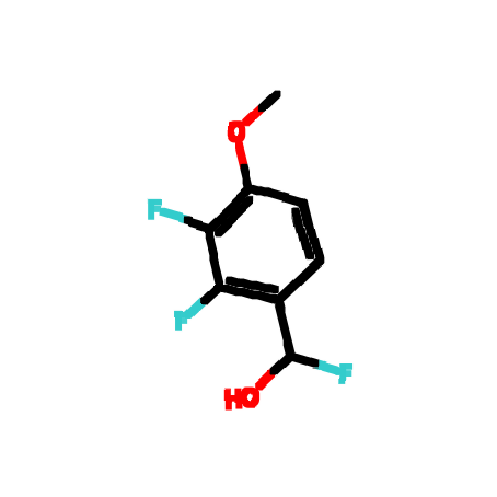 COc1ccc(C(O)F)c(F)c1F